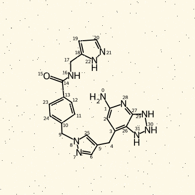 Nc1cc(Cc2cnn(Cc3ccc(C(=O)NCc4ccn[nH]4)cc3)c2)c2c(n1)NNN2